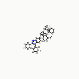 C1=Cc2ccccc2C2(c3ccccc31)c1ccccc1-c1ccc(-c3ccc4c(c3)nc(-c3ccccc3)n4-c3ccccc3)cc12